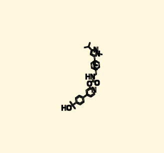 CC(C)c1cc(C23CCC(CNC(=O)Oc4cc(-c5ccc(C(C)(C)O)cc5)ccn4)(CC2)CC3)n(C)n1